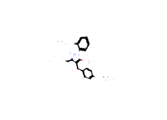 COc1ccc(C(=O)c2c(CC(=O)O)nn(-c3ccccc3OC)c2O)c(F)c1